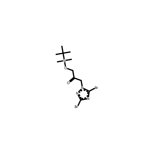 CC(C)(C)[Si](C)(C)OCC(=O)Cn1nc(Br)nc1Br